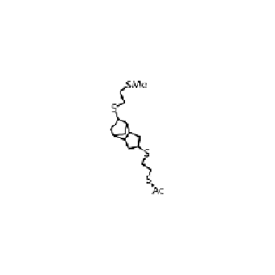 CSCCSC1CC2CC1C1CC(SCCSC(C)=O)CC21